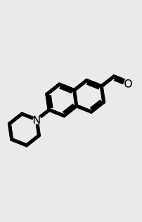 O=Cc1ccc2cc(N3CCCCC3)ccc2c1